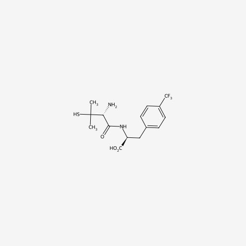 CC(C)(S)[C@H](N)C(=O)N[C@@H](Cc1ccc(C(F)(F)F)cc1)C(=O)O